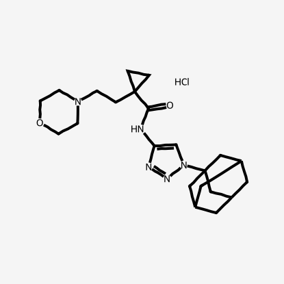 Cl.O=C(Nc1cn(C23CC4CC(CC(C4)C2)C3)nn1)C1(CCN2CCOCC2)CC1